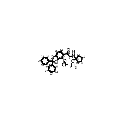 COc1c(C(=O)CNC2(C)CCCC2)ccc2c1OC(c1ccccc1)(c1ccccc1)O2